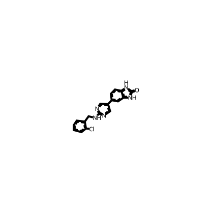 O=c1[nH]c2ccc(-c3cnc(NCc4ccccc4Cl)nc3)cc2[nH]1